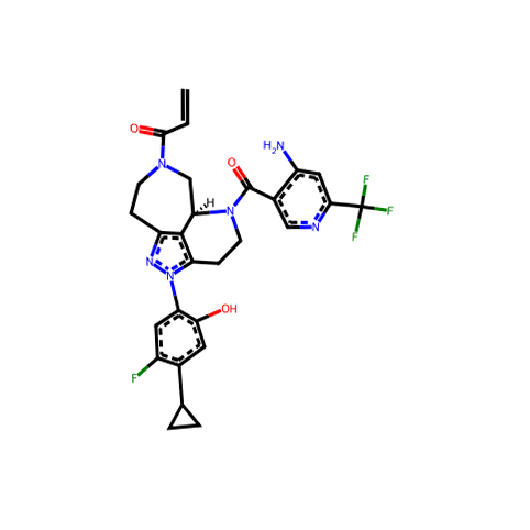 C=CC(=O)N1CCc2nn(-c3cc(F)c(C4CC4)cc3O)c3c2[C@@H](C1)N(C(=O)c1cnc(C(F)(F)F)cc1N)CC3